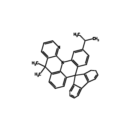 CC(C)c1ccc2c(c1)N1c3ncccc3C(C)(C)c3cccc(c31)C21C2=C(C=CCC2)c2ccccc21